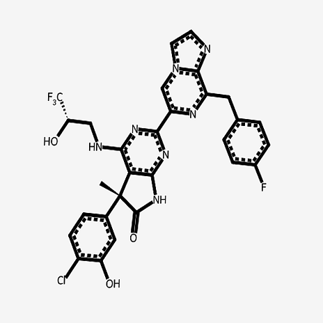 C[C@]1(c2ccc(Cl)c(O)c2)C(=O)Nc2nc(-c3cn4ccnc4c(Cc4ccc(F)cc4)n3)nc(NC[C@H](O)C(F)(F)F)c21